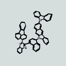 c1ccc2c(c1)-c1cccc3c(-c4nc5ccccc5nc4-c4ccc(-n5c6ccccc6c6cc7cc(-n8c9ccccc9c9ccccc98)ccc7cc65)c5ccccc45)ccc-2c13